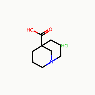 Cl.O=C(O)C12CCCN(CCC1)C2